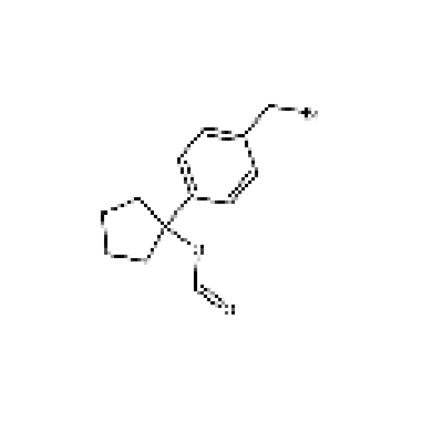 O=COC1(c2ccc(CBr)cc2)CCCC1